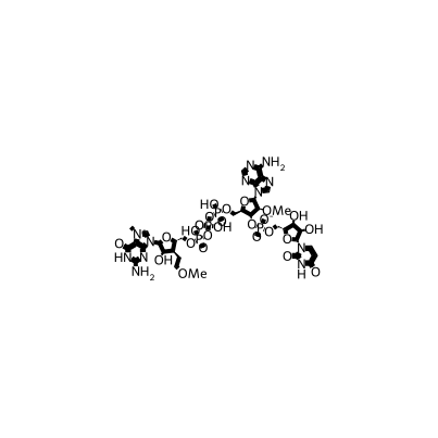 COCC[C@@H]1[C@@H](COP(=O)(O)OP(=O)(O)OP(=O)(O)OC[C@H]2O[C@@H](n3cnc4c(N)ncnc43)[C@H](OC)[C@@H]2OP(=O)([O-])OC[C@H]2O[C@@H](n3ccc(=O)[nH]c3=O)[C@H](O)[C@@H]2O)OC(n2c[n+](C)c3c(=O)[nH]c(N)nc32)[C@@H]1O